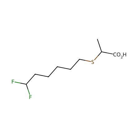 CC(SCCCCCC(F)F)C(=O)O